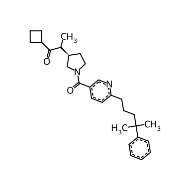 CC(C(=O)C1CCC1)[C@H]1CCN(C(=O)c2ccc(CCCC(C)(C)c3ccccc3)nc2)C1